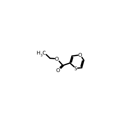 CCOC(=O)C1=COC=CS1